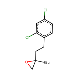 CC(C)(C)C1(CCc2ccc(Cl)cc2Cl)CO1